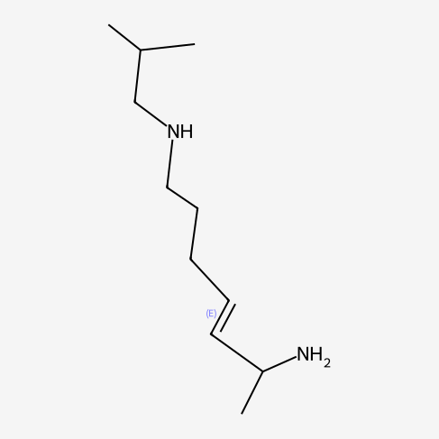 CC(N)/C=C/CCCNCC(C)C